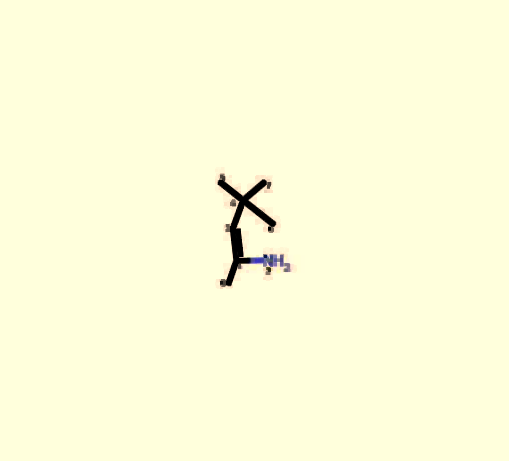 C/C(N)=C/C(C)(C)C